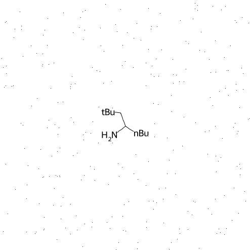 CCCCC(N)CC(C)(C)C